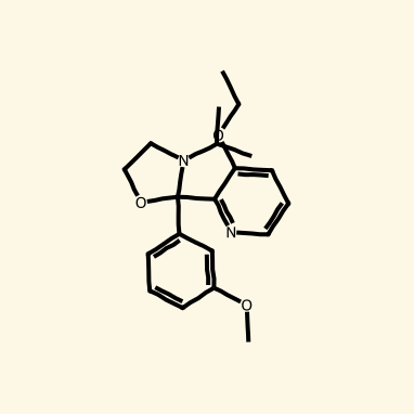 CCOc1cccnc1C1(c2cccc(OC)c2)OCCN1C(C)C